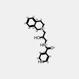 O=C(NCC(O)CN1CCc2ccccc2C1)C1=CCNC=C1